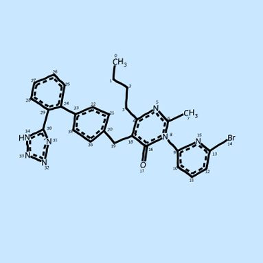 CCCCc1nc(C)n(-c2cccc(Br)n2)c(=O)c1Cc1ccc(-c2ccccc2-c2nnn[nH]2)cc1